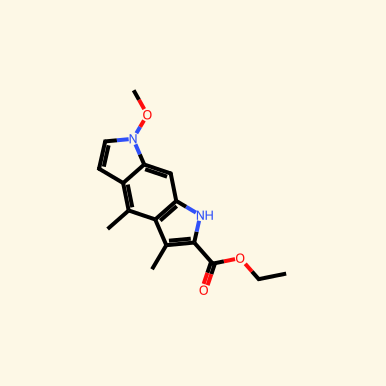 CCOC(=O)c1[nH]c2cc3c(ccn3OC)c(C)c2c1C